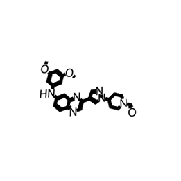 COc1cc(Nc2ccc3ncc(-c4cnn(C5CCN(C=O)CC5)c4)nc3c2)cc(OC)c1